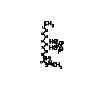 CCCCCCCCCCN1C=CN(C)C1.O=P(O)(O)OF